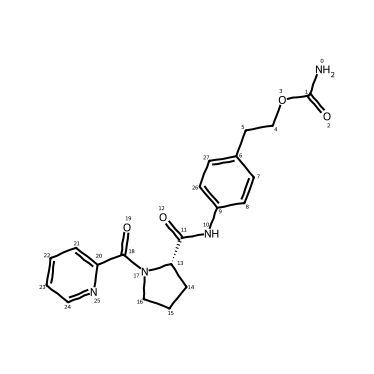 NC(=O)OCCc1ccc(NC(=O)[C@@H]2CCCN2C(=O)c2ccccn2)cc1